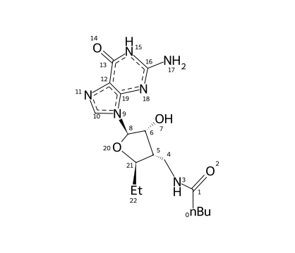 CCCCC(=O)NC[C@H]1[C@@H](O)[C@H](n2cnc3c(=O)[nH]c(N)nc32)O[C@@H]1CC